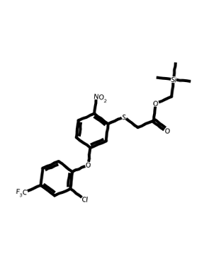 C[Si](C)(C)COC(=O)CSc1cc(Oc2ccc(C(F)(F)F)cc2Cl)ccc1[N+](=O)[O-]